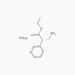 CCOC(=O)[C@H](CN)c1cccnc1.Cl.Cl